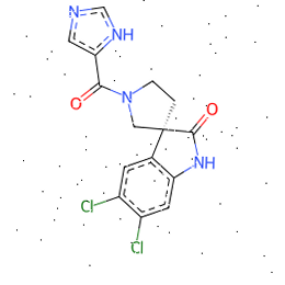 O=C(c1cnc[nH]1)N1CC[C@]2(C1)C(=O)Nc1cc(Cl)c(Cl)cc12